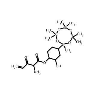 C=CC(=O)C(N)C(=O)OC1CCC([Si]2(C)O[Si](C)(C)O[Si](C)(C)O[Si](C)(C)O2)CC1O